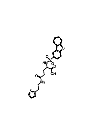 O=C(CCC(NS(=O)(=O)c1ccc2oc3ccccc3c2c1)C(=O)O)NCCc1cccs1